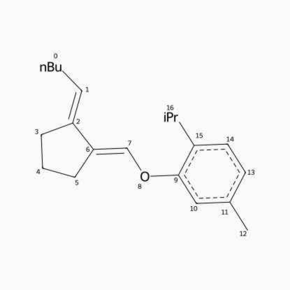 CCCCC=C1CCCC1=COc1cc(C)ccc1C(C)C